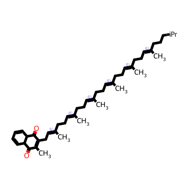 CC1=C(C/C=C(\C)CC/C=C(\C)CC/C=C(\C)CC/C=C(\C)CC/C=C(\C)CC/C=C(\C)CCCC(C)C)C(=O)C2C=CC=CC2C1=O